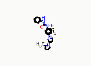 Cc1cc(N2CCC(N3CCCC3C)C2)ccc1NC(=O)NC1CCCCC1